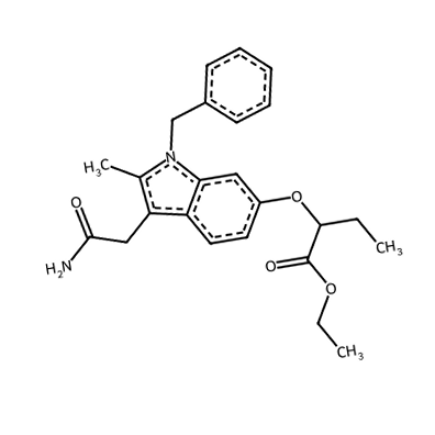 CCOC(=O)C(CC)Oc1ccc2c(CC(N)=O)c(C)n(Cc3ccccc3)c2c1